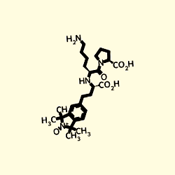 CC1(C)c2ccc(CC[C@H](N[C@@H](CCCCN)C(=O)N3CCC[C@H]3C(=O)O)C(=O)O)cc2C(C)(C)[N+]1=O